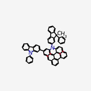 CC1(c2ccccc2)c2ccccc2-c2ccc(N(c3cccc(-c4ccc5c6ccccc6n(-c6ccccc6)c5c4)c3)c3ccccc3-c3cccc4cccc(-c5ccccc5)c34)cc21